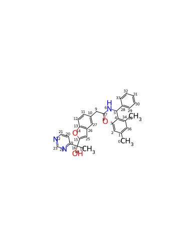 Cc1ccc(C(NC(=O)Cc2ccc3oc(C(C)(O)c4ccncn4)cc3c2)c2ccccc2)c(C)c1